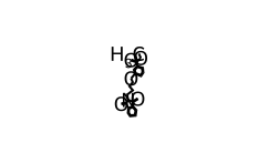 COC(=O)c1cccc(OCCCCN2C(=O)c3ccccc3C2=O)c1